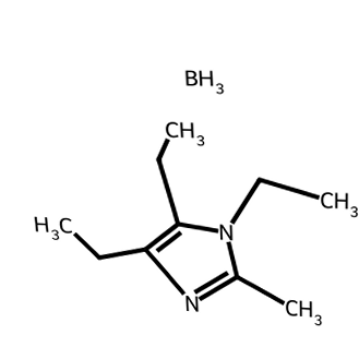 B.CCc1nc(C)n(CC)c1CC